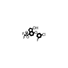 O=S(=O)(c1ccc(Oc2cc(F)cc(Cl)c2)c2c1CCC2O)C(F)F